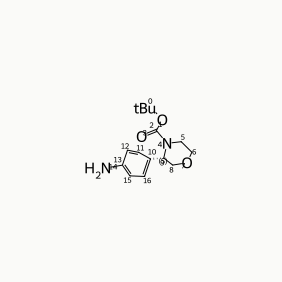 CC(C)(C)OC(=O)N1CCOC[C@@H]1c1ccc(N)cc1